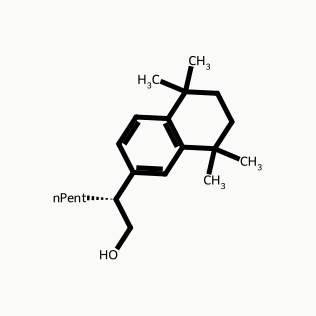 CCCCC[C@@H](CO)c1ccc2c(c1)C(C)(C)CCC2(C)C